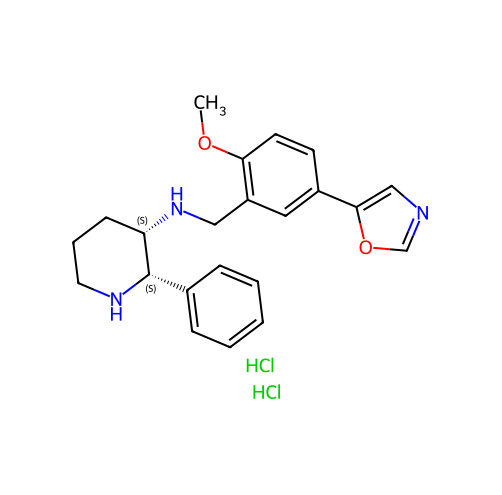 COc1ccc(-c2cnco2)cc1CN[C@H]1CCCN[C@H]1c1ccccc1.Cl.Cl